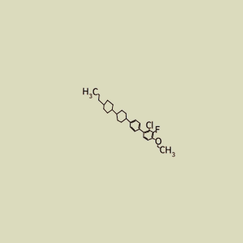 CCCC1CCC(C2CCC(c3ccc(-c4ccc(OCC)c(F)c4Cl)cc3)CC2)CC1